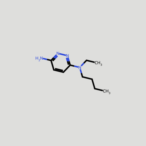 CCCCN(CC)c1ccc(N)nn1